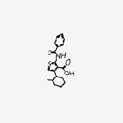 CC1CCCCC1c1csc(NC(=O)c2ccccc2)c1C(=O)O